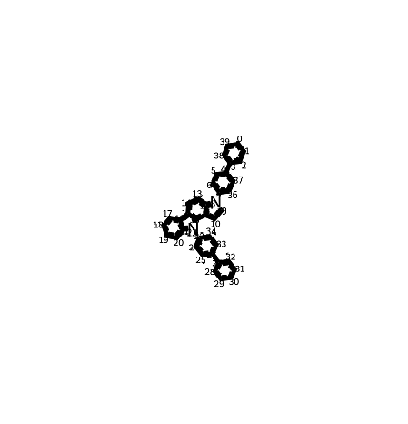 c1ccc(-c2ccc(-n3ccc4c3ccc3c5ccccc5n(-c5ccc(-c6ccccc6)cc5)c34)cc2)cc1